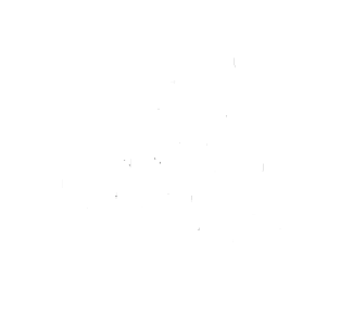 COc1ccc(-c2cc(CF)nn2-c2ccc(S)cc2)cc1F